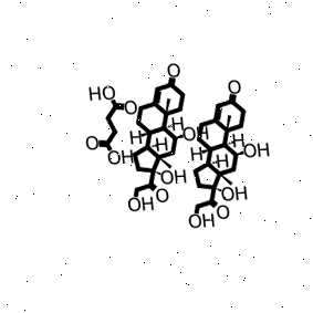 C[C@]12CCC(=O)C=C1CC[C@@H]1[C@@H]2[C@@H](O)C[C@@]2(C)[C@H]1CC[C@]2(O)C(=O)CO.C[C@]12CCC(=O)C=C1CC[C@@H]1[C@@H]2[C@@H](O)C[C@@]2(C)[C@H]1CC[C@]2(O)C(=O)CO.O=C(O)CCC(=O)O